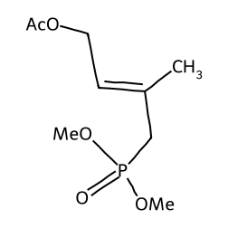 COP(=O)(CC(C)=CCOC(C)=O)OC